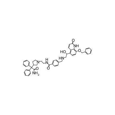 NC(=O)C(c1ccccc1)(c1ccccc1)C1CCN(CCNC(=O)c2ccc(CNCC(O)c3ccc(OCc4ccccc4)c4[nH]c(=O)ccc34)cc2)C1